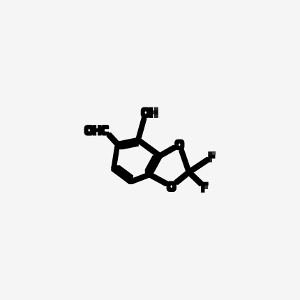 O=Cc1ccc2c(c1O)OC(F)(F)O2